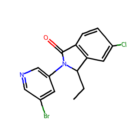 CCC1c2cc(Cl)ccc2C(=O)N1c1cncc(Br)c1